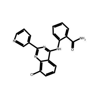 NC(=O)c1ccccc1Nc1nc(-c2cccnc2)nc2c(Cl)cccc12